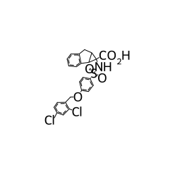 O=C(O)C1(NS(=O)(=O)c2ccc(OCc3ccc(Cl)cc3Cl)cc2)C2Cc3ccccc3C21